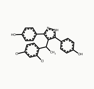 CC(c1ccc(Cl)cc1Cl)c1c(-c2ccc(O)cc2)n[nH]c1-c1ccc(O)cc1